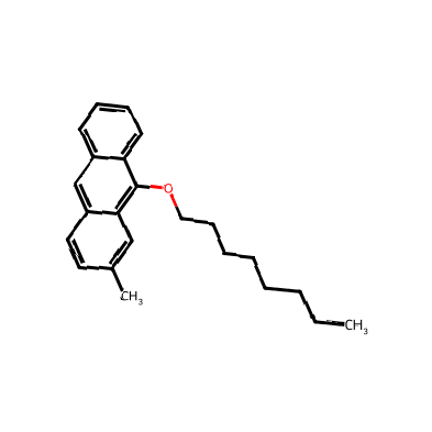 CCCCCCCCOc1c2ccccc2cc2ccc(C)cc12